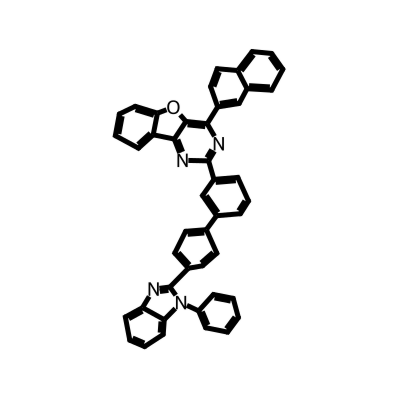 c1ccc(-n2c(-c3ccc(-c4cccc(-c5nc(-c6ccc7ccccc7c6)c6oc7ccccc7c6n5)c4)cc3)nc3ccccc32)cc1